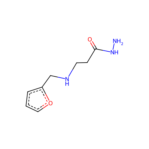 NNC(=O)CCNCc1ccco1